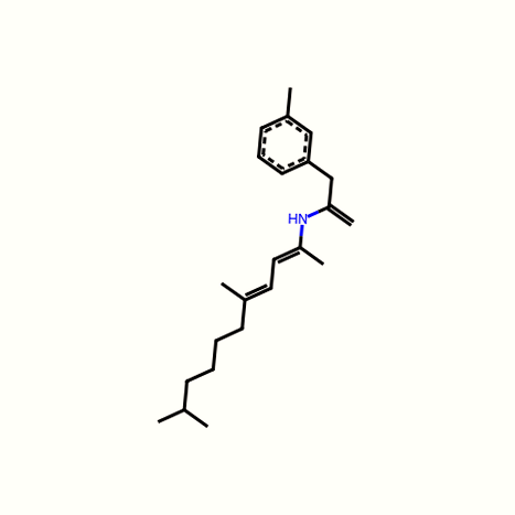 C=C(Cc1cccc(C)c1)N/C(C)=C/C=C(\C)CCCCC(C)C